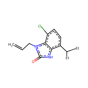 C=CCn1c(=O)[nH]c2c(C(CC)CC)ccc(Cl)c21